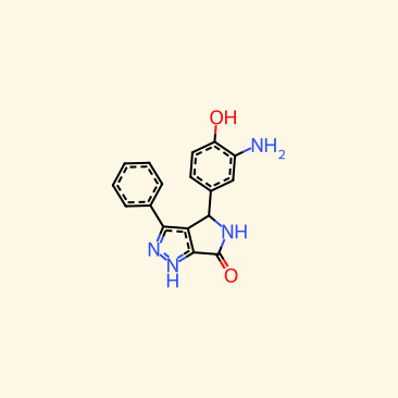 Nc1cc(C2NC(=O)c3[nH]nc(-c4ccccc4)c32)ccc1O